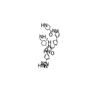 Cc1ccc(-c2ccc(C[C@H](NC(=O)[C@H]3CC[C@H](CN)CC3)C(=O)Nc3ccc(-c4nn[nH]n4)cc3)cc2)cc1NC(=O)C1CCNCC1